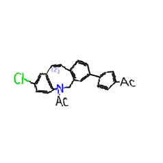 CC(=O)c1ccc(-c2ccc3c(c2)CN(C(C)=O)c2ccc(Cl)cc2/C=C\3)cc1